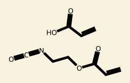 C=CC(=O)O.C=CC(=O)OCCN=C=O